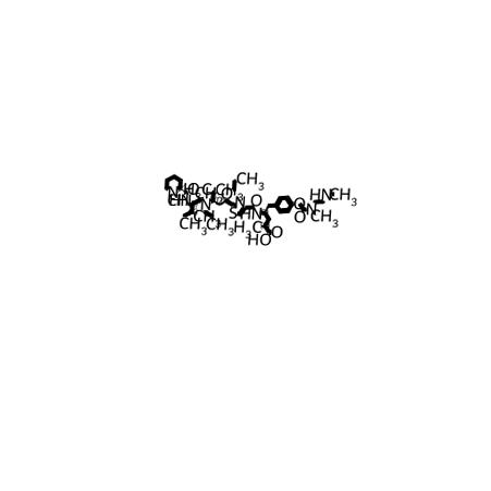 C=C([C@@H](NC(=O)[C@H]1CCCCN1C)[C@@H](C)CC)N(CCC)[C@H](C[C@@H](OCCC)c1nc(C(=O)N[C@@H](Cc2ccc(OC(=O)N(C)CCNC)cc2)C[C@H](C)C(=O)O)cs1)C(C)C